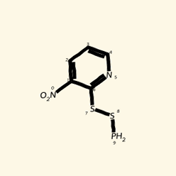 O=[N+]([O-])c1cccnc1SSP